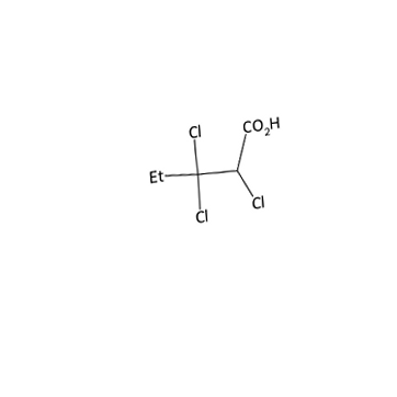 CCC(Cl)(Cl)C(Cl)C(=O)O